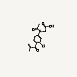 C=C(C)C(=O)c1ccc(N(CC(=O)O)C(C)=O)cc1Cl